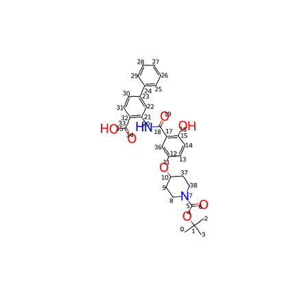 CC(C)(C)OC(=O)N1CCC(Oc2ccc(O)c(C(=O)Nc3cc(-c4ccccc4)ccc3C(=O)O)c2)CC1